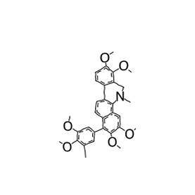 COc1cc(-c2c(OC)c(OC)cc3c4c(ccc23)-c2ccc(OC)c(OC)c2CN4C)cc(C)c1OC